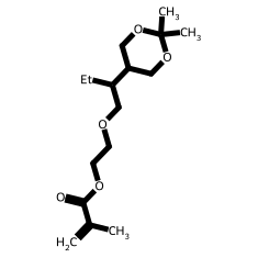 C=C(C)C(=O)OCCOCC(CC)C1COC(C)(C)OC1